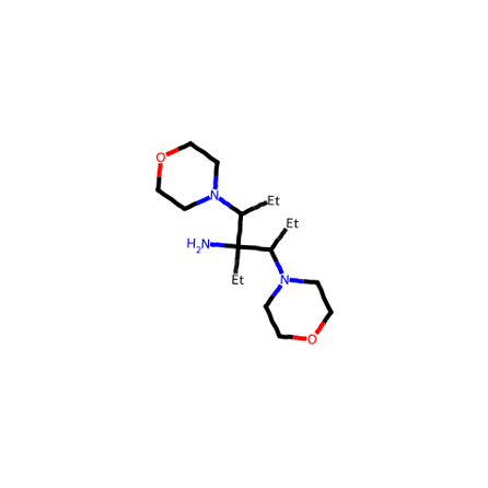 CCC(N1CCOCC1)C(N)(CC)C(CC)N1CCOCC1